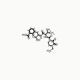 CCN1CCN(C(=O)NC(C(=O)NC2Cc3cccc(C(=O)O)c3OB2O)C(C)C)C(=O)C1=O